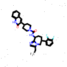 O=C(NC1CCC(c2cccc(F)c2F)Cn2c(CC(F)(F)F)cnc21)N1CCC(c2cc3ccccc3[nH]c2=O)CC1